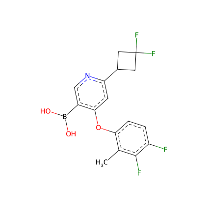 Cc1c(Oc2cc(C3CC(F)(F)C3)ncc2B(O)O)ccc(F)c1F